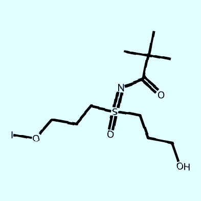 CC(C)(C)C(=O)N=S(=O)(CCCO)CCCOI